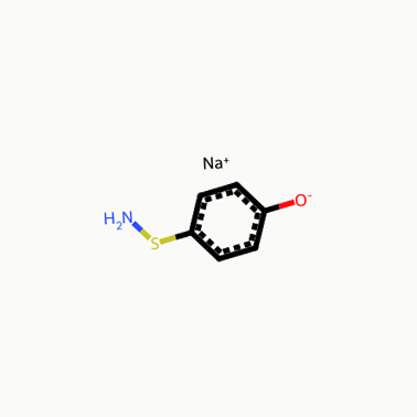 NSc1ccc([O-])cc1.[Na+]